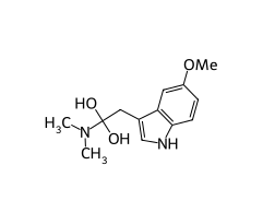 COc1ccc2[nH]cc(CC(O)(O)N(C)C)c2c1